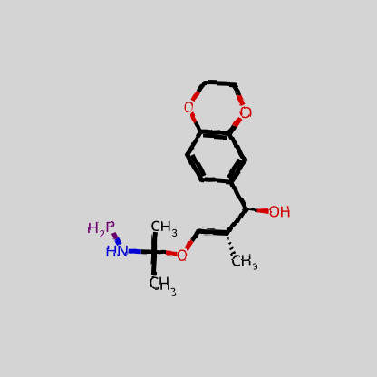 C[C@H](COC(C)(C)NP)[C@H](O)c1ccc2c(c1)OCCO2